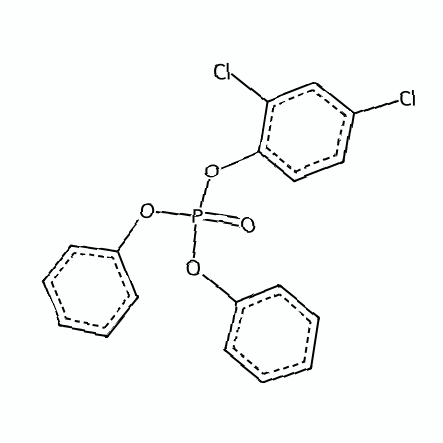 O=P(Oc1ccccc1)(Oc1ccccc1)Oc1ccc(Cl)cc1Cl